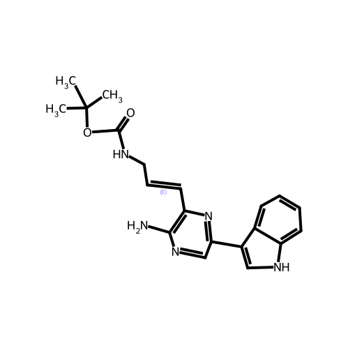 CC(C)(C)OC(=O)NC/C=C/c1nc(-c2c[nH]c3ccccc23)cnc1N